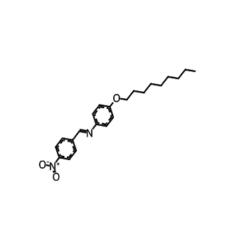 CCCCCCCCCOc1ccc(N=Cc2ccc([N+](=O)[O-])cc2)cc1